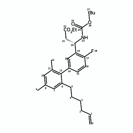 C=CCCCCc1cc(C)cc(C)c1-c1ccc(F)c([C@H](CC(=O)OCC)NC(=O)OC(C)(C)C)c1